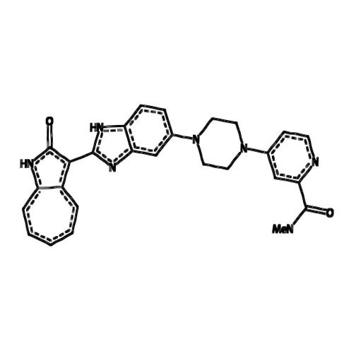 CNC(=O)c1cc(N2CCN(c3ccc4[nH]c(-c5c6cccccc-6[nH]c5=O)nc4c3)CC2)ccn1